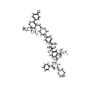 CC1(C)CCC(c2ccc(Cl)cc2)=C(CN2CCN(c3ccc(C(=O)NS(=O)(=O)c4ccc(N[C@H](CCN5CCOCC5)C[S+]([O-])c5ccccc5)c(S(=O)(=O)C(F)(F)F)c4)cc3)CC2)C1